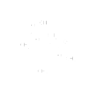 C=C(CCCC)C(=O)OC.C=CC(=O)OC